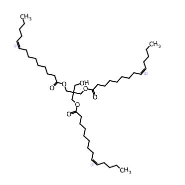 CCCC/C=C\CCCCCCCC(=O)OCC(CO)(COC(=O)CCCCCCC/C=C\CCCC)COC(=O)CCCCCCC/C=C\CCCC